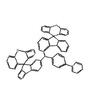 c1ccc(-c2ccc(N(c3ccc4c(c3)C3(c5ccccc5Oc5ccccc53)c3ccccc3-4)c3cccc4c3-c3ccccc3C43c4ccccc4Sc4ccccc43)cc2)cc1